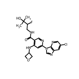 CC(C)(O)C(F)CNC(=O)c1cnc(-n2cnc3cc(Cl)cnc32)cc1NC1COC1